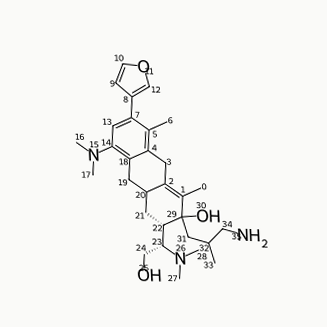 CC1=C2Cc3c(C)c(-c4ccoc4)cc(N(C)C)c3CC2C[C@@H]([C@@H](CO)N(C)C)C1(O)CC(C)CN